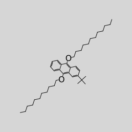 CCCCCCCCCCCCOc1c2ccccc2c(OCCCCCCCCCCC)c2cc(C(C)(C)C)ccc12